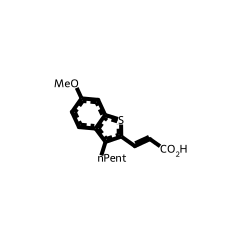 CCCCCc1c(C=CC(=O)O)sc2cc(OC)ccc12